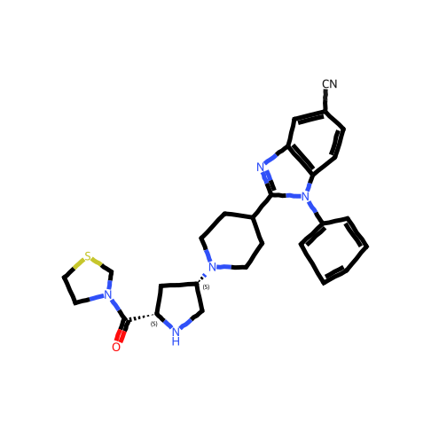 N#Cc1ccc2c(c1)nc(C1CCN([C@@H]3CN[C@H](C(=O)N4CCSC4)C3)CC1)n2-c1ccccc1